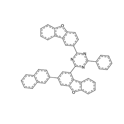 c1ccc(-c2nc(-c3ccc4oc5ccccc5c4c3)nc(-c3cc(-c4ccc5ccccc5c4)cc4oc5ccccc5c34)n2)cc1